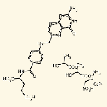 CC(O)C(=O)[O-].CC(O)C(=O)[O-].NCCS(=O)(=O)O.Nc1nc2ncc(CNc3ccc(C(=O)NC(CCC(=O)O)C(=O)O)cc3)nc2c(=O)[nH]1.[Ca+2]